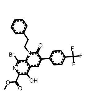 COC(=O)c1nc(Br)c2c(cc(-c3ccc(C(F)(F)F)cc3)c(=O)n2CCc2ccccc2)c1O